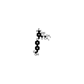 CC(C)OC(=O)c1c(COc2ccc(-c3ccc(CC(=O)O)cc3)cc2)ccc(C(F)(F)F)c1O